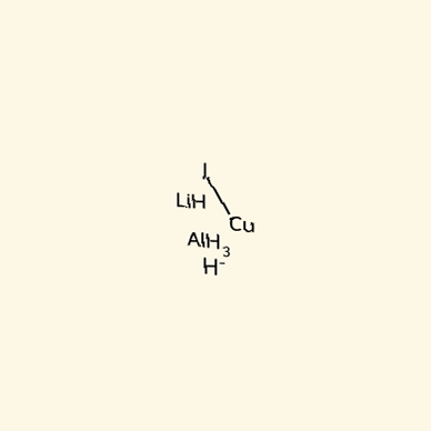 [AlH3].[Cu][I].[H-].[LiH]